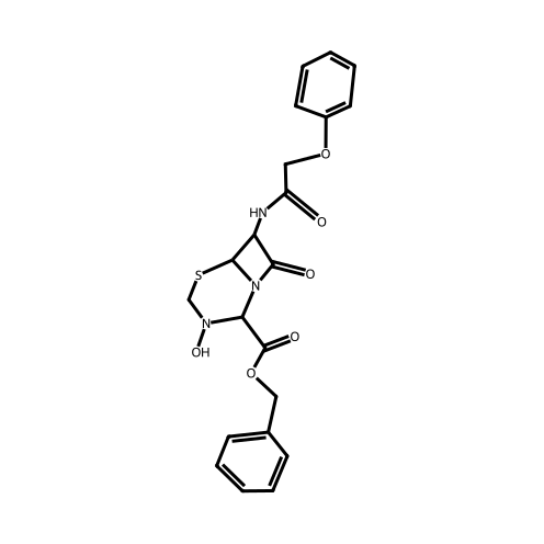 O=C(COc1ccccc1)NC1C(=O)N2C1SCN(O)C2C(=O)OCc1ccccc1